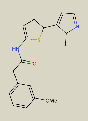 COc1cccc(CC(=O)NC2=CCC(C3=CC=NC3C)S2)c1